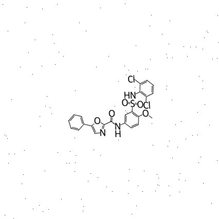 COc1ccc(NC(=O)c2ncc(-c3ccccc3)o2)cc1S(=O)(=O)Nc1c(Cl)cccc1Cl